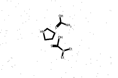 C1CCNC1.CCN(CC)C(O)=S.NC(O)=S